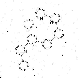 C1=CC(c2cccc(-c3cccc(-c4cccc(-c5cccc(-c6ccccc6)n5)n4)c3)c2)NC(c2cccc(-c3ccccc3)n2)=C1